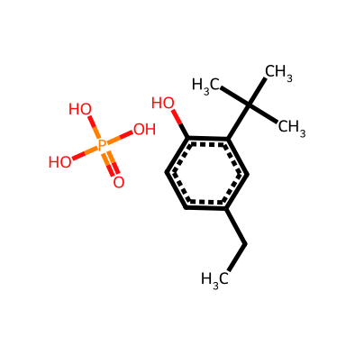 CCc1ccc(O)c(C(C)(C)C)c1.O=P(O)(O)O